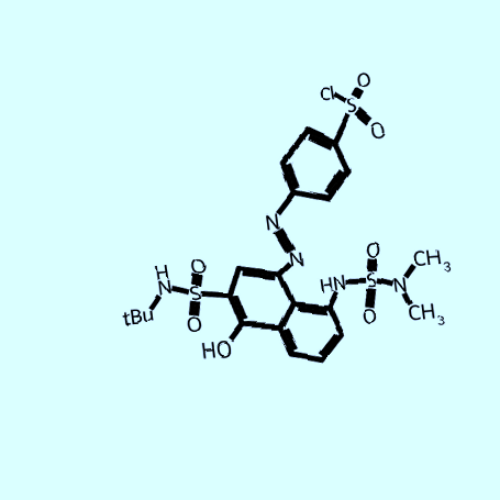 CN(C)S(=O)(=O)Nc1cccc2c(O)c(S(=O)(=O)NC(C)(C)C)cc(/N=N/c3ccc(S(=O)(=O)Cl)cc3)c12